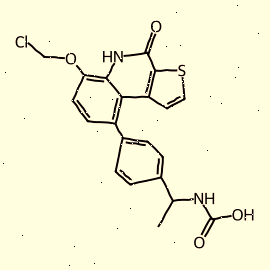 CC(NC(=O)O)c1ccc(-c2ccc(OCCl)c3[nH]c(=O)c4sccc4c23)cc1